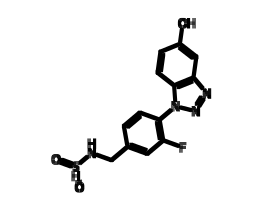 O=[SH](=O)NCc1ccc(-n2nnc3cc(O)ccc32)c(F)c1